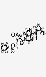 CC(=O)O[C@@H]1C[C@@H](COC(=O)c2ccccc2)O[C@H]1n1cnc2c(N[C@H]3CCC[C@@H]3O)ncnc21